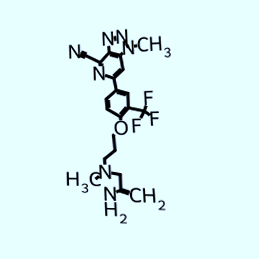 C=C(N)CN(C)CCCOc1ccc(-c2cc3c(nnn3C)c(C#N)n2)cc1C(F)(F)F